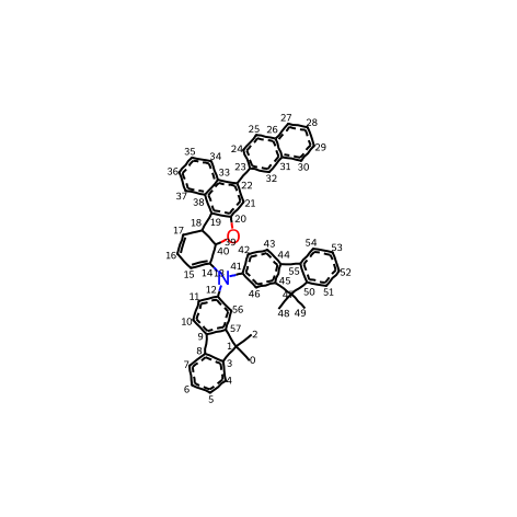 CC1(C)c2ccccc2-c2ccc(N(C3=CC=CC4c5c(cc(-c6ccc7ccccc7c6)c6ccccc56)OC34)c3ccc4c(c3)C(C)(C)c3ccccc3-4)cc21